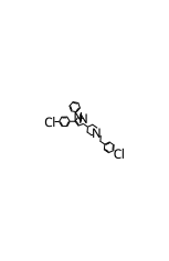 Clc1ccc(CCN2CCC(c3cc(-c4ccc(Cl)cc4)n(-c4ccccc4)n3)CC2)cc1